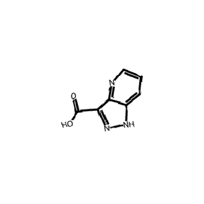 O=C(O)c1n[nH]c2cccnc12